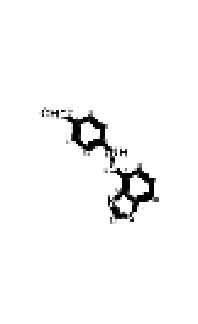 O=Cc1ccc(NSc2cccc3scnc23)cc1